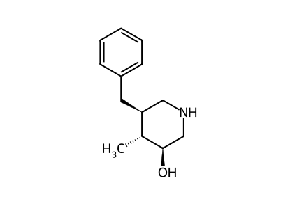 C[C@@H]1[C@@H](Cc2ccccc2)CNC[C@H]1O